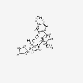 CCc1ccc2c(n1)oc1c(N3C=CC(C4CCCC4)[C@@H]3C)c(C)ccc12